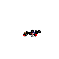 N#Cc1cc(-c2ccc3sc4ccccc4c3c2)cc2c1oc1c(-n3c4ccccc4c4cc(-c5ccccc5)ccc43)cccc12